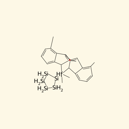 CC1=Cc2c(C)cccc2[CH]1[Hf]([CH3])([CH3])([CH]1C(C)=Cc2c(C)cccc21)=[Si]1[SiH2][SiH2][SiH2][SiH2]1